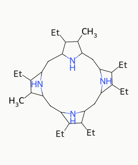 CCC1C2CC3NC(CC4NC(CC5NC(CC(N2)C1C)C(CC)C5CC)C(CC)C4CC)C(C)C3CC